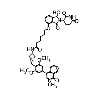 COc1cc(-c2cn(C)c(=O)c3cnccc23)cc(OC)c1CN1CC(NC(=O)CCCCCOc2cccc3c2C(=O)N(C2CCC(=O)NC2=O)C3O)C1